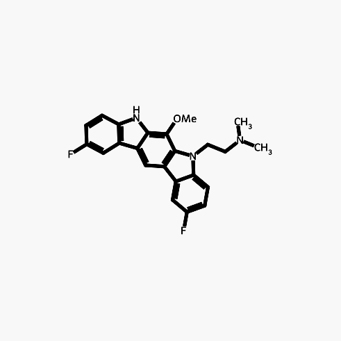 COc1c2[nH]c3ccc(F)cc3c2cc2c3cc(F)ccc3n(CCN(C)C)c12